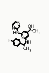 CC(Nc1cc([C@H](C)O)cc(Nc2cnccn2)n1)c1ccc(F)cc1